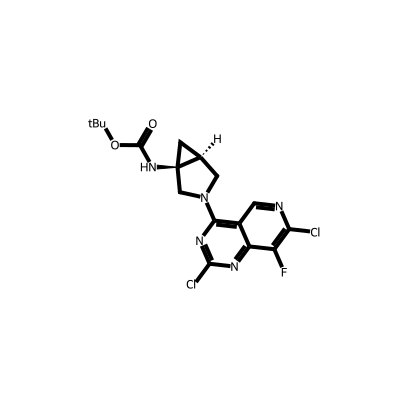 CC(C)(C)OC(=O)N[C@@]12C[C@H]1CN(c1nc(Cl)nc3c(F)c(Cl)ncc13)C2